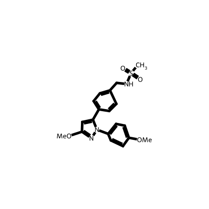 COc1ccc(-n2nc(OC)cc2-c2ccc(CNS(C)(=O)=O)cc2)cc1